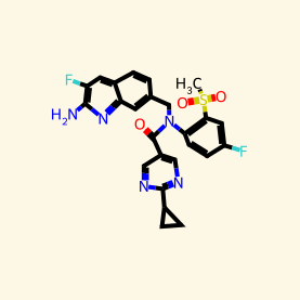 CS(=O)(=O)c1cc(F)ccc1N(Cc1ccc2cc(F)c(N)nc2c1)C(=O)c1cnc(C2CC2)nc1